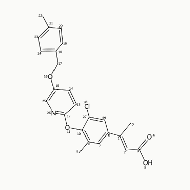 C/C(=C\C(=O)O)c1cc(C)c(Oc2ccc(OCc3ccc(C)cc3)cn2)c(Cl)c1